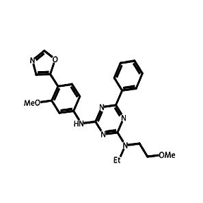 CCN(CCOC)c1nc(Nc2ccc(-c3cnco3)c(OC)c2)nc(-c2ccccc2)n1